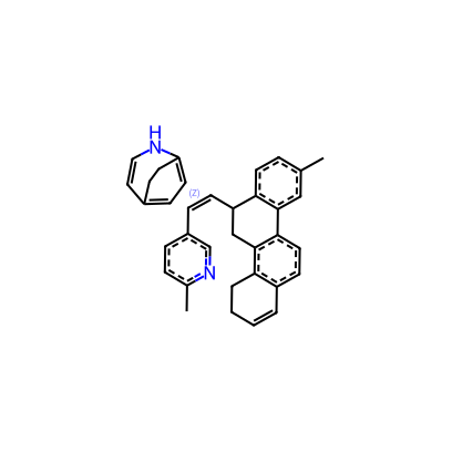 C1=CC2=CC=C(CC2)N1.Cc1ccc2c(c1)-c1ccc3c(c1CC2/C=C\c1ccc(C)nc1)CCC=C3